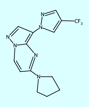 FC(F)(F)c1cnn(-c2cnn3ccc(N4CCCC4)nc23)c1